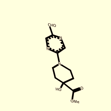 COC(=O)C1(O)CCN(c2cnc(C=O)cn2)CC1